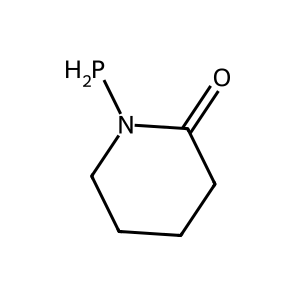 O=C1CCCCN1P